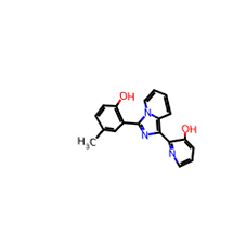 Cc1ccc(O)c(-c2nc(-c3ncccc3O)c3ccccn23)c1